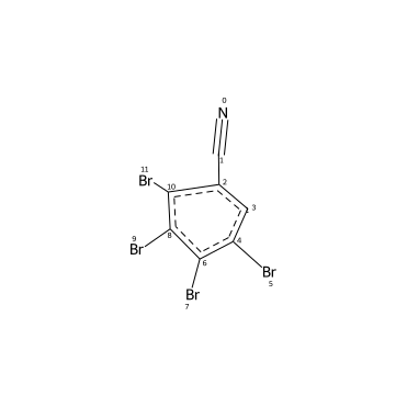 N#Cc1[c]c(Br)c(Br)c(Br)c1Br